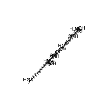 C=C(O)CCCCCCCCCCCCCCCCC(=O)N[C@@H](CCC(=O)NCCOCCOCC(=O)NCCOCCOCC(=O)NCCCC[C@H](N)C(=O)O)C(=C)O